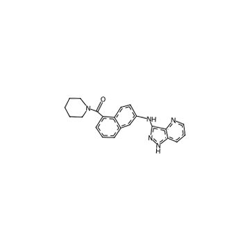 O=C(c1cccc2cc(Nc3n[nH]c4cccnc34)ccc12)N1CCCCC1